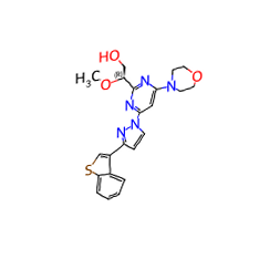 CO[C@@H](CO)c1nc(N2CCOCC2)cc(-n2ccc(-c3csc4ccccc34)n2)n1